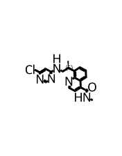 CNC(=O)c1ccnc2c([C@H](C)CNc3cc(Cl)ncn3)cccc12